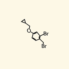 BrCc1ccc(OCC2CC2)cc1Br